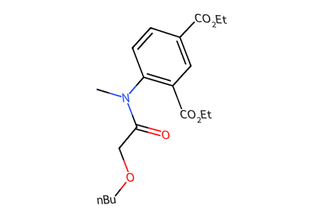 CCCCOCC(=O)N(C)c1ccc(C(=O)OCC)cc1C(=O)OCC